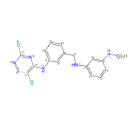 O=C(O)Nc1cccc(NCc2cccc(Nc3nc(Cl)ncc3Cl)c2)c1